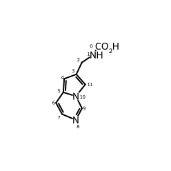 O=C(O)NCc1cc2ccncn2c1